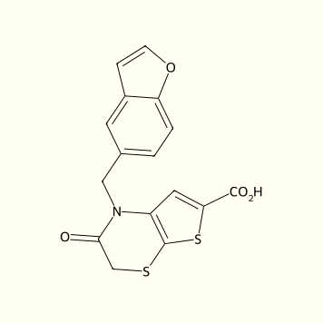 O=C(O)c1cc2c(s1)SCC(=O)N2Cc1ccc2occc2c1